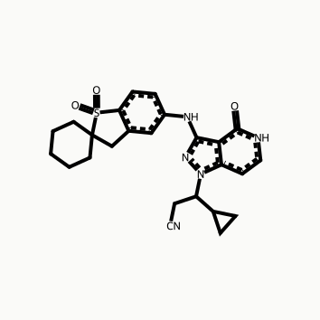 N#CCC(C1CC1)n1nc(Nc2ccc3c(c2)CC2(CCCCC2)S3(=O)=O)c2c(=O)[nH]ccc21